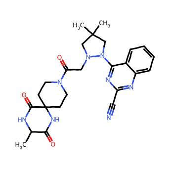 CC1NC(=O)C2(CCN(C(=O)CN3CC(C)(C)CN3c3nc(C#N)nc4ccccc34)CC2)NC1=O